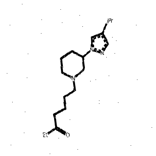 CCC(=O)CCCCN1CCCC(n2cc(C(C)C)cn2)C1